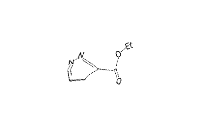 CCOC(=O)C1=NN=CC1